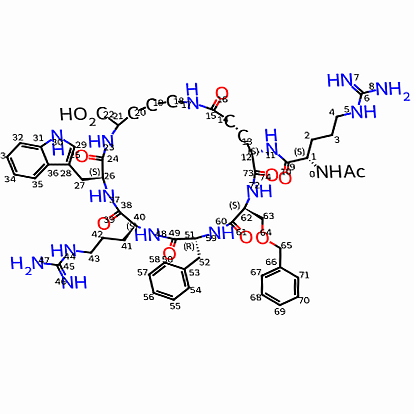 CC(=O)N[C@@H](CCCNC(=N)N)C(=O)N[C@H]1CCC(=O)NCCCC(C(=O)O)NC(=O)[C@H](Cc2c[nH]c3ccccc23)NC(=O)[C@H](CCCNC(=N)N)NC(=O)[C@@H](Cc2ccccc2)NC(=O)[C@H](COCc2ccccc2)NC1=O